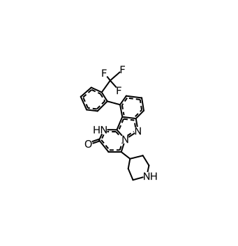 O=c1cc(C2CCNCC2)n2nc3cccc(-c4ccccc4C(F)(F)F)c3c2[nH]1